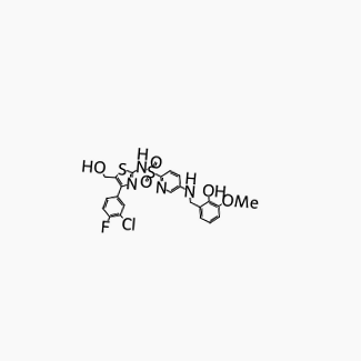 COc1cccc(CNc2ccc(S(=O)(=O)Nc3nc(-c4ccc(F)c(Cl)c4)c(CO)s3)nc2)c1O